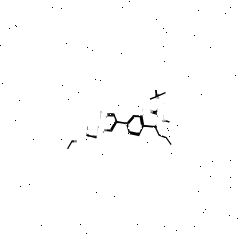 CCCC(c1ccc(/C(C=N)=C/NCC(=O)OCC)cc1)N(C)C(=O)OC(C)(C)C